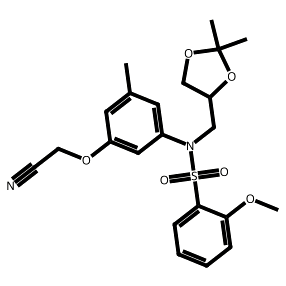 COc1ccccc1S(=O)(=O)N(CC1COC(C)(C)O1)c1cc(C)cc(OCC#N)c1